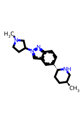 C[C@H]1CC[C@H](c2ccc3nn(C4CCN(C)C4)cc3c2)NC1